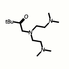 CN(C)CCN(CCN(C)C)CC(=O)C(C)(C)C